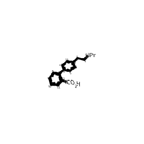 CC(C)CCc1ccc(-c2ccccc2C(=O)O)cc1